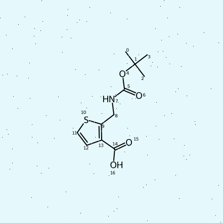 CC(C)(C)OC(=O)NCc1sccc1C(=O)O